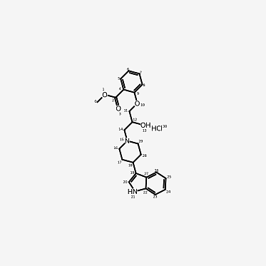 COC(=O)c1ccccc1OCC(O)CN1CCC(c2c[nH]c3ccccc23)CC1.Cl